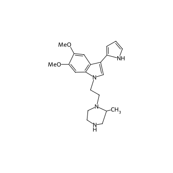 COc1cc2c(-c3ccc[nH]3)cn(CCN3CCNCC3C)c2cc1OC